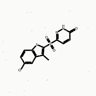 Cc1c(S(=O)(=O)c2ccc(=O)[nH]n2)sc2ccc(Cl)cc12